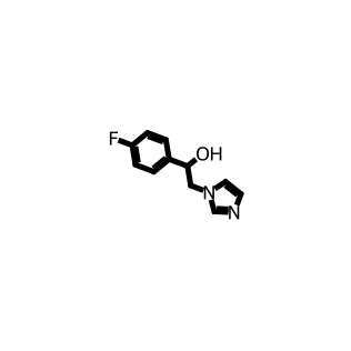 OC(Cn1ccnc1)c1ccc(F)cc1